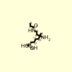 CCC(=O)NCCC(C)(N)CCCCB(O)O